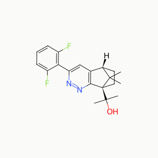 CC(C)(O)[C@@]12CC[C@@H](c3cc(-c4c(F)cccc4F)nnc31)C2(C)C